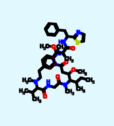 CCC(C)C(C(CC(=O)N1CCCC1C(OC)C(C)C(=O)NC(Cc1ccccc1)c1nccs1)OC)N(C)C(=O)CNC(=O)C(C(C)C)N(C)CCc1ccc(NC)cc1